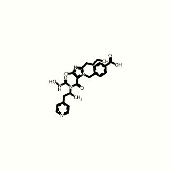 CCCCc1nc(Cl)c(C(=O)N(C(=O)NO)C(C)Cc2ccncc2)n1Cc1ccc(C(=O)O)cc1